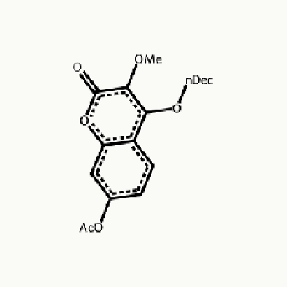 CCCCCCCCCCOc1c(OC)c(=O)oc2cc(OC(C)=O)ccc12